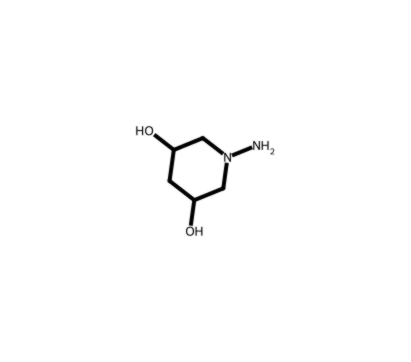 NN1CC(O)CC(O)C1